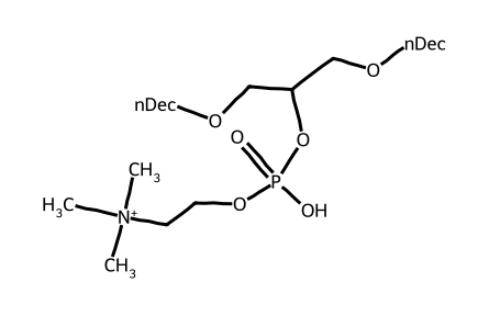 CCCCCCCCCCOCC(COCCCCCCCCCC)OP(=O)(O)OCC[N+](C)(C)C